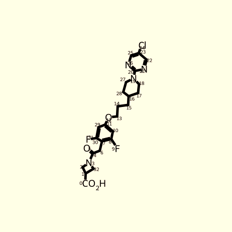 O=C(O)C1CN(C(=O)Cc2c(F)cc(OCCCC3CCN(c4ncc(Cl)cn4)CC3)cc2F)C1